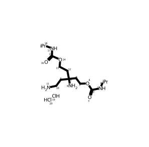 CC(C)NC(=O)OCCC(N)(CCN)CCOC(=O)NC(C)C.Cl.Cl